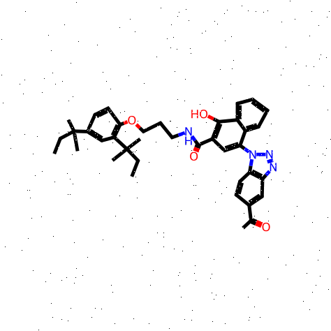 CCC(C)(C)c1ccc(OCCCNC(=O)c2cc(-n3nnc4cc(C(C)=O)ccc43)c3ccccc3c2O)c(C(C)(C)CC)c1